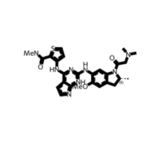 CNC(=O)c1sccc1Nc1nc(Nc2cc3c(cc2OC)C[C@@H](C)N3C(=O)CN(C)C)[nH]c2nccc1-2